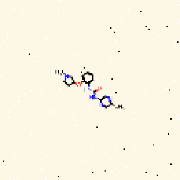 Cc1cnc(NC(=O)Nc2ccccc2OC2CCN(C)C2)cn1